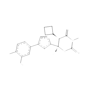 CN1C(=N)N[C@](C)(c2cc(-c3ccc(F)c(C#N)c3)cs2)[C@@H](C2CCC2)C1=O